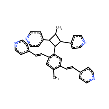 Cc1cc(/C=C/c2ccncc2)c(C2C(c3ccncc3)C(C)C2c2ccncc2)cc1/C=C/c1ccncc1